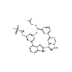 CN(C)CCOc1cncc(-c2cc3c(-c4nc5c(-c6cc(F)cc(CNS(C)(=O)=O)c6)cccc5[nH]4)n[nH]c3cn2)c1